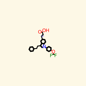 O=C(O)/C=C/c1ccc2c(c1)c(CCc1ccccc1)cn2-c1ccc(OC(F)F)cc1